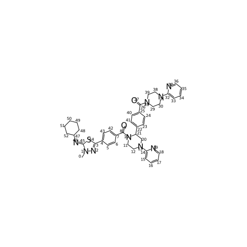 Cn1nc(-c2ccc(C(=O)N3CCN(c4ccccn4)CC3c3ccc(C(=O)N4CCN(c5ccccn5)CC4)cc3)cc2)sc1=NC1CCCCC1